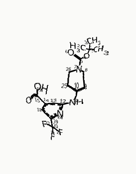 CC(C)(C)OC(=O)N1CCC(Nc2cc(C(=O)O)cc(C(F)(F)F)n2)CC1